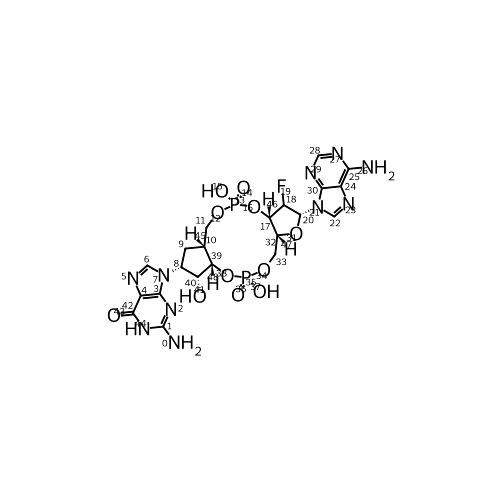 Nc1nc2c(ncn2[C@@H]2C[C@@H]3COP(=O)(O)O[C@@H]4C(F)[C@H](n5cnc6c(N)ncnc65)O[C@@H]4COP(=O)(O)O[C@@H]3[C@@H]2O)c(=O)[nH]1